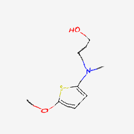 COc1ccc(N(C)CCO)s1